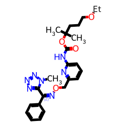 CCOCCCC(C)(C)OC(=O)Nc1cccc(CO/N=C(/c2ccccc2)c2nnnn2C)n1